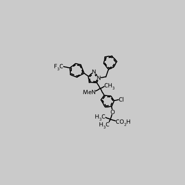 CNC(C)(c1ccc(OC(C)(C)C(=O)O)c(Cl)c1)c1cc(-c2ccc(C(F)(F)F)cc2)nn1Cc1ccccc1